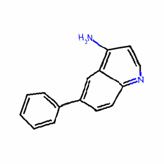 Nc1ccnc2ccc(-c3ccccc3)cc12